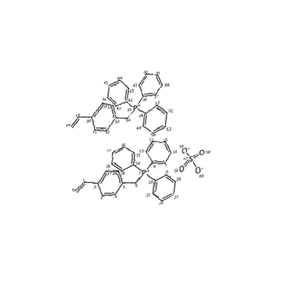 C=Cc1ccc(C[P+](c2ccccc2)(c2ccccc2)c2ccccc2)cc1.C=Cc1ccc(C[P+](c2ccccc2)(c2ccccc2)c2ccccc2)cc1.O=S(=O)([O-])[O-]